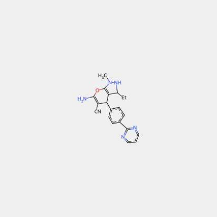 CCC1NN(C)C2=C1C(c1ccc(-c3ncccn3)cc1)C(C#N)=C(N)O2